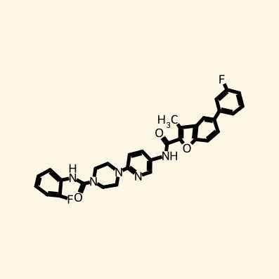 Cc1c(C(=O)Nc2ccc(N3CCN(C(=O)Nc4ccccc4F)CC3)nc2)oc2ccc(-c3cccc(F)c3)cc12